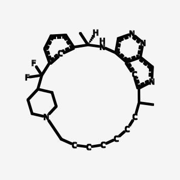 CC1CCCCCCCN2CCC(CC2)C(F)(F)c2cccc(c2)[C@@H](C)Nc2cnnc3cnc1cc23